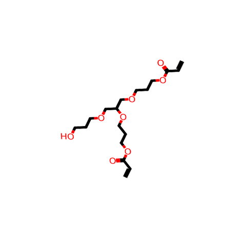 C=CC(=O)OCCCOCC(COCCCO)OCCCOC(=O)C=C